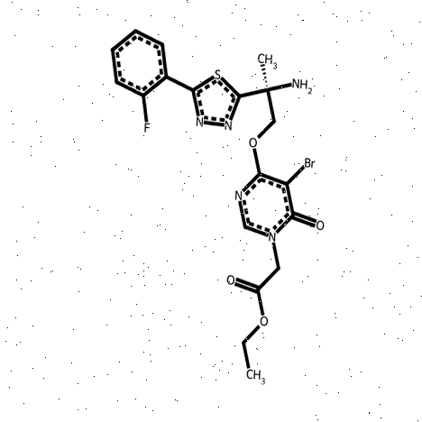 CCOC(=O)Cn1cnc(OC[C@](C)(N)c2nnc(-c3ccccc3F)s2)c(Br)c1=O